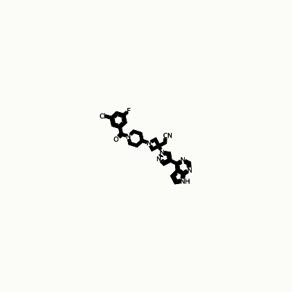 N#CCC1(n2cc(-c3ncnc4[nH]ccc34)cn2)CN(C2CCN(C(=O)c3cc(F)cc(Cl)c3)CC2)C1